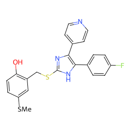 CSc1ccc(O)c(CSc2nc(-c3ccncc3)c(-c3ccc(F)cc3)[nH]2)c1